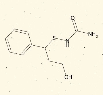 NC(=O)NSC(CCO)c1ccccc1